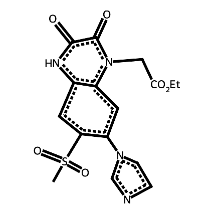 CCOC(=O)Cn1c(=O)c(=O)[nH]c2cc(S(C)(=O)=O)c(-n3ccnc3)cc21